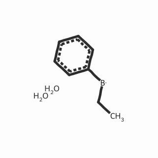 CC[B]c1ccccc1.O.O